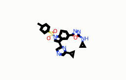 Cc1ccc(S(=O)(=O)n2cc(-c3cncc(C4CC4)n3)c3cc(-c4nnc(NC5CC5)o4)ccc32)cc1